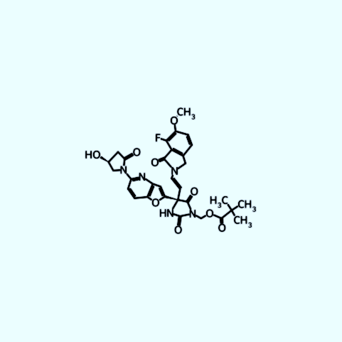 COc1ccc2c(c1F)C(=O)N(/C=C/[C@@]1(c3cc4nc(N5C[C@@H](O)CC5=O)ccc4o3)NC(=O)N(COC(=O)C(C)(C)C)C1=O)C2